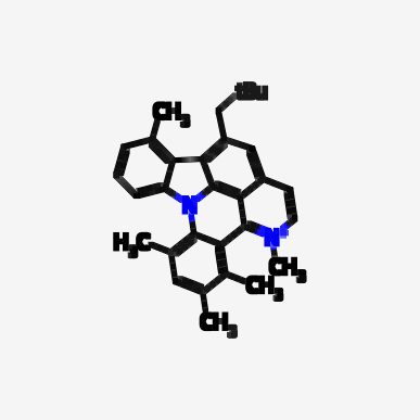 Cc1cc(C)c2c(c1C)c1c3c(cc[n+]1C)cc(CC(C)(C)C)c1c4c(C)cccc4n2c13